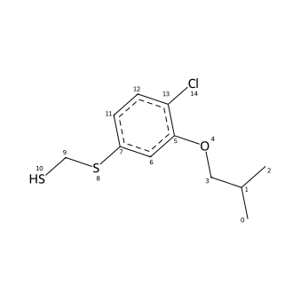 CC(C)COc1cc(SCS)ccc1Cl